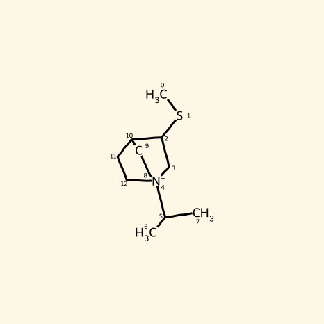 CSC1C[N+]2(C(C)C)CCC1CC2